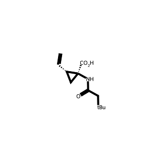 C=C[C@H]1C[C@@]1(NC(=O)CC(C)(C)C)C(=O)O